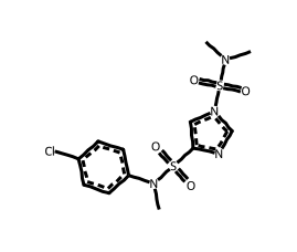 CN(c1ccc(Cl)cc1)S(=O)(=O)c1cn(S(=O)(=O)N(C)C)cn1